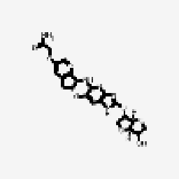 NC(=O)COc1cnc2c(c1)CCC2Nc1nc2nc(O[C@@H]3CO[C@H]4[C@@H]3OC[C@H]4O)[nH]c2cc1Cl